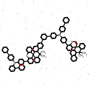 CC1(C)c2ccccc2C2(c3ccccc3Sc3c(-c4ccc(N(c5ccc(-c6ccccc6)cc5)c5ccc(-c6cccc(-c7ccc8c9c(ccc8c7)C7(c8ccccc8Sc8c(-c%10ccc(N(c%11ccc(-c%12ccccc%12)cc%11)c%11ccccc%11-c%11ccccc%11)cc%10)cccc87)c7ccccc7C9(C)C)c6)cc5)cc4)cccc32)c2ccc3ccccc3c21